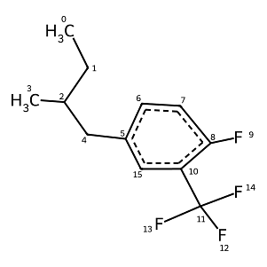 CCC(C)Cc1ccc(F)c(C(F)(F)F)c1